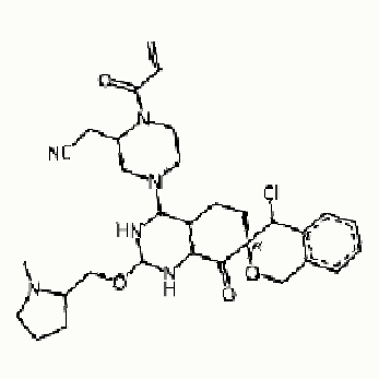 C=CC(=O)N1CCN(C2NC(OCC3CCCN3C)NC3C(=O)[C@@]4(CCC32)OCc2ccccc2C4Cl)CC1CC#N